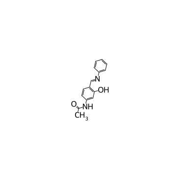 CC(=O)Nc1ccc(C=Nc2ccccc2)c(O)c1